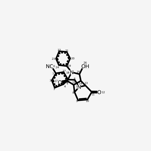 N#Cc1cccc(CN2C3C=CC(=O)C2C2C3C(=O)N(c3ccccc3)C2O)c1